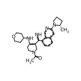 CC(=O)N1CCC(NC2CCOCC2)=C(C(=N)c2cccc3cc(N4CCC[C@@H]4C)ncc23)C1